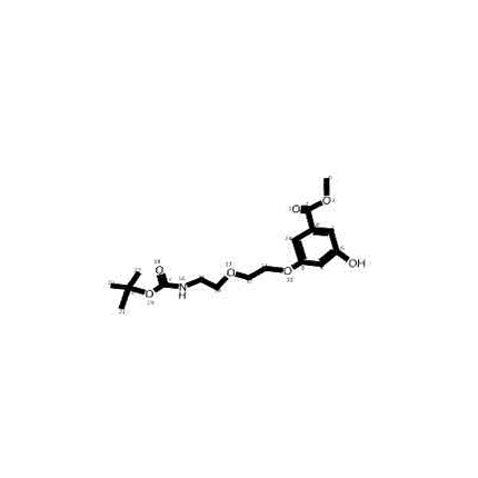 COC(=O)c1cc(O)cc(OCCOCCNC(=O)OC(C)(C)C)c1